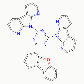 c1ccc2c(c1)oc1c(-c3nc(-n4c5ncccc5c5cccnc54)nc(-n4c5ncccc5c5cccnc54)n3)cccc12